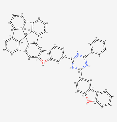 c1ccc(-c2nc(-c3ccc4c(c3)oc3ccc5c(c34)-c3ccccc3C53c4ccccc4-c4ccccc43)nc(-c3ccc4oc5ccccc5c4c3)n2)cc1